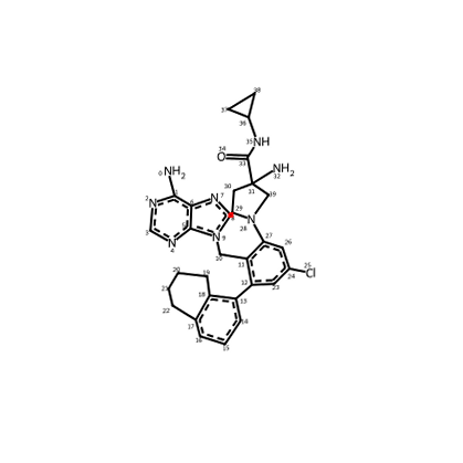 Nc1ncnc2c1ncn2Cc1c(-c2cccc3c2CCCC3)cc(Cl)cc1N1CCC(N)(C(=O)NC2CC2)C1